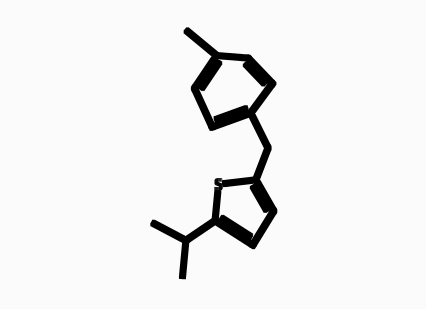 Cc1ccc(Cc2ccc(C(C)C)s2)cc1